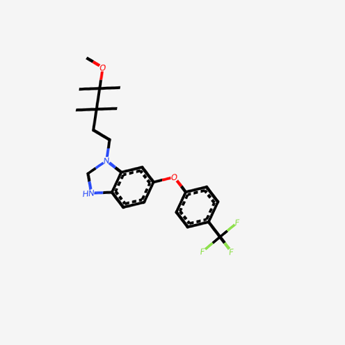 COC(C)(C)C(C)(C)CCN1CNc2ccc(Oc3ccc(C(F)(F)F)cc3)cc21